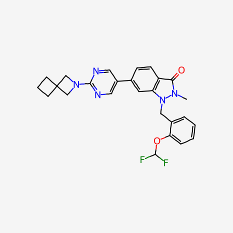 Cn1c(=O)c2ccc(-c3cnc(N4CC5(CCC5)C4)nc3)cc2n1Cc1ccccc1OC(F)F